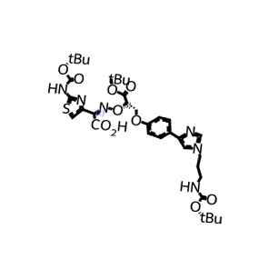 CC(C)(C)OC(=O)NCCCn1cnc(-c2ccc(OC[C@H](O/N=C(\C(=O)O)c3csc(NC(=O)OC(C)(C)C)n3)C(=O)OC(C)(C)C)cc2)c1